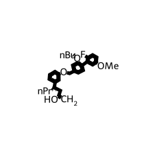 C=C(O)C[C@@H](CCC)c1cccc(OCc2ccc(-c3cc(OC)ccc3F)c(OCCCC)c2)c1